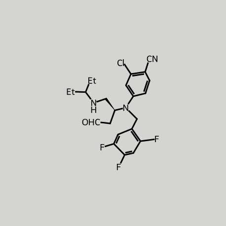 CCC(CC)NC[C@H](CC=O)N(Cc1cc(F)c(F)cc1F)c1ccc(C#N)c(Cl)c1